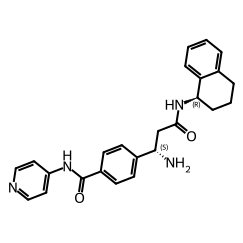 N[C@@H](CC(=O)N[C@@H]1CCCc2ccccc21)c1ccc(C(=O)Nc2ccncc2)cc1